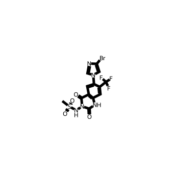 CS(=O)(=O)Nn1c(=O)[nH]c2cc(C(F)(F)F)c(-n3cnc(Br)c3)cc2c1=O